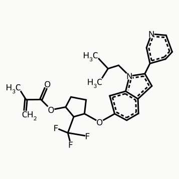 C=C(C)C(=O)OC1CCC(Oc2ccc3cc(-c4cccnc4)n(CC(C)C)c3c2)C1C(F)(F)F